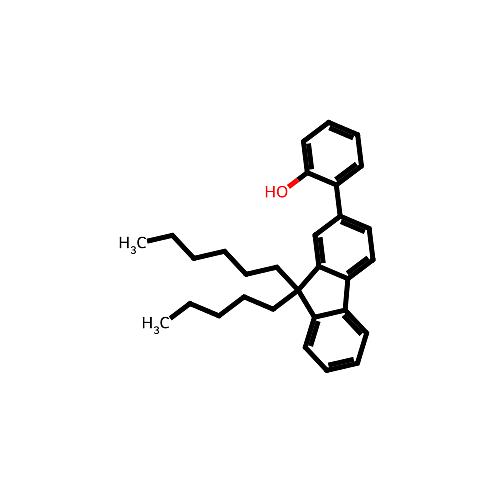 CCCCCCC1(CCCCC)c2ccccc2-c2ccc(-c3ccccc3O)cc21